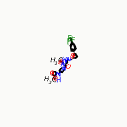 COc1nc(NC[C@H]2CCC[C@@H](c3ccc(C(F)(F)F)cc3)O2)cc(C(=O)N2CCC(N[C@H]3CCOC[C@H]3OC)CC2)n1